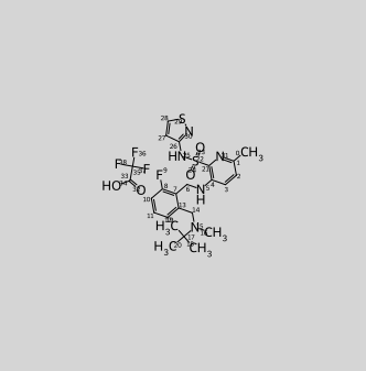 Cc1ccc(NCc2c(F)cccc2CN(C)C(C)(C)C)c(S(=O)(=O)Nc2ccsn2)n1.O=C(O)C(F)(F)F